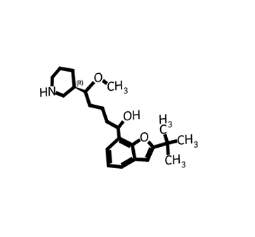 COC(CCCC(O)c1cccc2cc(C(C)(C)C)oc12)[C@@H]1CCCNC1